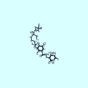 CSc1cc(C)[nH]c(=O)c1CNC(=O)c1cc(Cl)c2c(c1C)O[C@](C)([C@H]1CC[C@H](NC3CC(F)(F)C3)CC1)O2